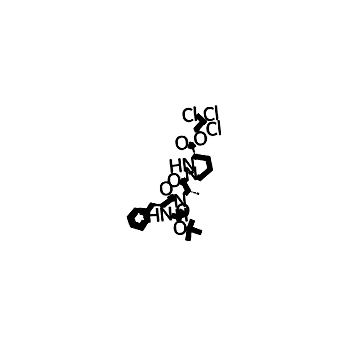 C[C@H](NC(=O)[C@H](Cc1ccccc1)NC(=O)OC(C)(C)C)C(=O)N1CCC[C@@H](C(=O)OCC(Cl)(Cl)Cl)N1